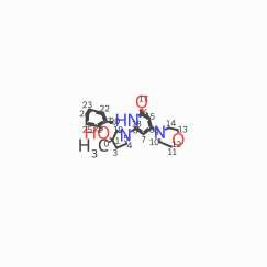 C[C@]1(O)CCN(c2cc(N3CCOCC3)cc(=O)[nH]2)[C@H]1Cc1ccccc1